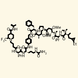 C=C(C)NC(=O)C1CCN(CCCC(=O)N[C@H](C(=O)N[C@@H](CCCNC(N)=O)C(=O)Nc2ccc(CNC(=O)[C@H](Cc3ccccc3)NC(=O)[C@H](C)[C@@H](OC)[C@@H]3CCCN3C(=O)C[C@@H](OC)[C@H]([C@@H](C)CC)N(C)C(=O)[C@@H](NC(=O)[C@H](C(C)CC3CC3CC)N(C)C)C(C)C)cc2)C(C)C)C(C(F)(F)F)C1